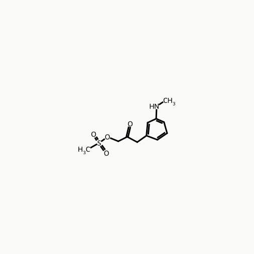 CNc1cccc(CC(=O)COS(C)(=O)=O)c1